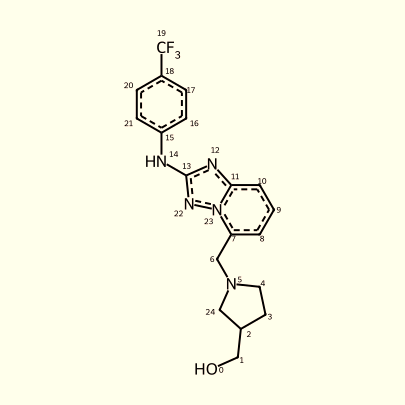 OCC1CCN(Cc2cccc3nc(Nc4ccc(C(F)(F)F)cc4)nn23)C1